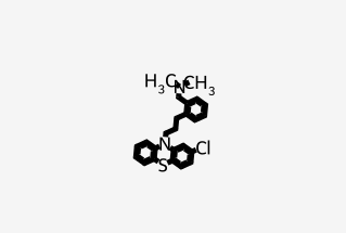 CN(C)Cc1ccccc1CCCN1c2ccccc2Sc2ccc(Cl)cc21